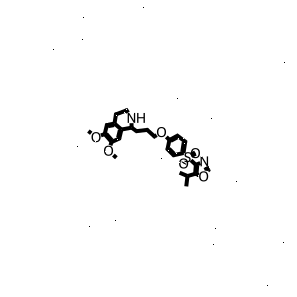 COc1cc2c(cc1OC)C(CCCOc1ccc(S(=O)(=O)c3ncoc3C(C)C)cc1)NCC2